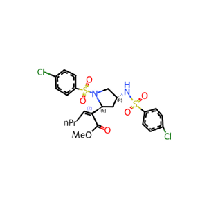 CCC/C=C(\C(=O)OC)[C@@H]1C[C@@H](NS(=O)(=O)c2ccc(Cl)cc2)CN1S(=O)(=O)c1ccc(Cl)cc1